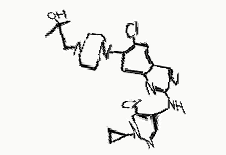 CC(C)(O)CN1CCN(c2cc3nc(Nc4cnn(C5CC5)c4Cl)ncc3cc2Cl)CC1